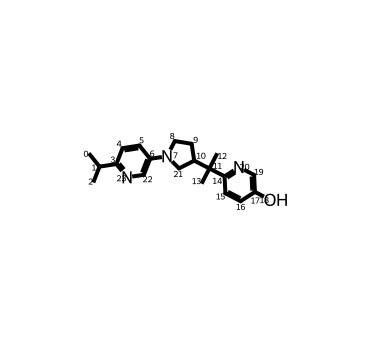 CC(C)c1ccc(N2CCC(C(C)(C)c3ccc(O)cn3)C2)cn1